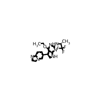 CCOc1nc(N[C@H](C)C(F)(F)F)nc2[nH]cc(-c3ccc4nccn4c3)c12